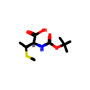 CSC(C)[C@H](NC(=O)OC(C)(C)C)C(=O)O